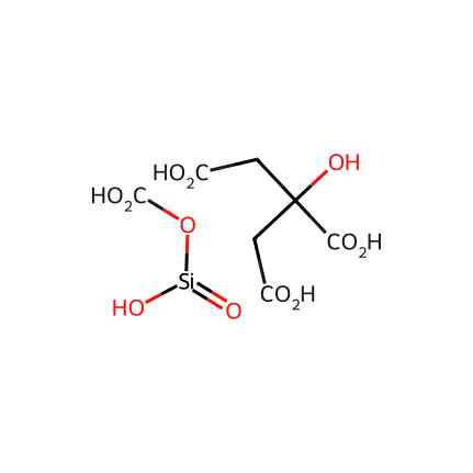 O=C(O)CC(O)(CC(=O)O)C(=O)O.O=C(O)O[Si](=O)O